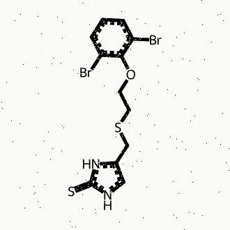 S=c1[nH]cc(CSCCOc2c(Br)cccc2Br)[nH]1